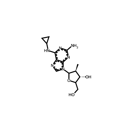 C[C@@H]1C(n2cnc3c(NC4CC4)nc(N)nc32)OC(CO)[C@H]1O